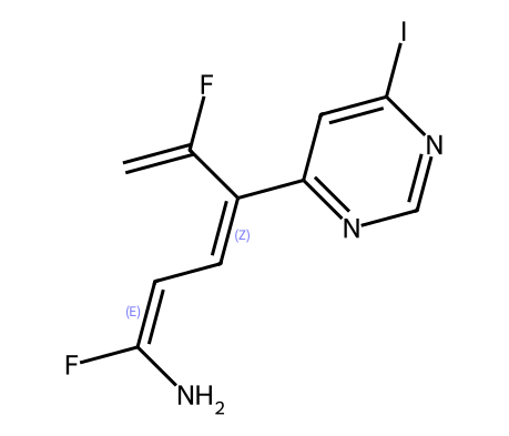 C=C(F)/C(=C\C=C(/N)F)c1cc(I)ncn1